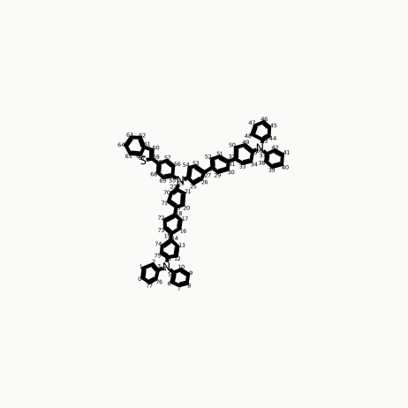 c1ccc(N(c2ccccc2)c2ccc(-c3ccc(-c4ccc(N(c5ccc(-c6ccc(-c7ccc(N(c8ccccc8)c8ccccc8)cc7)cc6)cc5)c5ccc(-c6cc7ccccc7s6)cc5)cc4)cc3)cc2)cc1